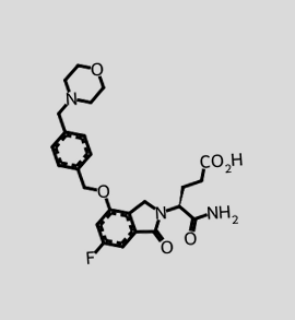 NC(=O)[C@H](CCC(=O)O)N1Cc2c(OCc3ccc(CN4CCOCC4)cc3)cc(F)cc2C1=O